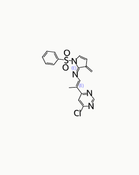 C=C1C=CN(S(=O)(=O)c2ccccc2)/C1=N/C=C(\C)c1cc(Cl)ncn1